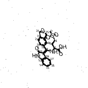 CS(=O)(=O)CCC(NC(=C1C(=O)Nc2ccccc21)c1ccc2c(c1)COC2)C(=O)O